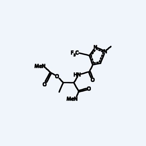 CNC(=O)OC(C)C(NC(=O)c1cn(C)nc1C(F)(F)F)C(=O)NC